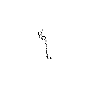 COCCOCCOCCOc1ccc(-n2cc(C)ccc2=O)cc1